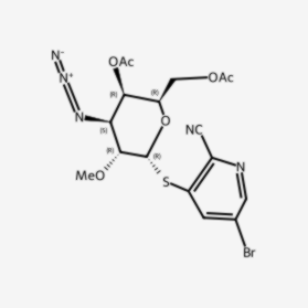 CO[C@@H]1[C@@H](N=[N+]=[N-])[C@@H](OC(C)=O)[C@@H](COC(C)=O)O[C@@H]1Sc1cc(Br)cnc1C#N